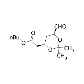 CCCCOC(=O)C[C@H]1C[C@@H](C=O)OC(C)(C)O1